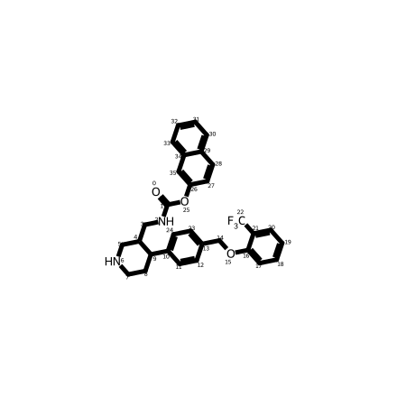 O=C(NCC1CNCCC1c1ccc(COc2ccccc2C(F)(F)F)cc1)Oc1ccc2ccccc2c1